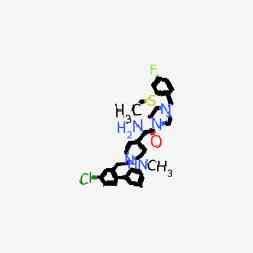 CCSc1cc(F)ccc1CN1CCN(C(=O)[C@H](N)C2CCN(CCc3cc(Cl)ccc3-c3cccc(NC)c3)CC2)CC1